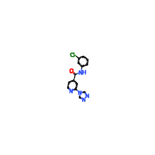 O=C(Nc1cccc(Cl)c1)c1ccnc(-n2cnnc2)c1